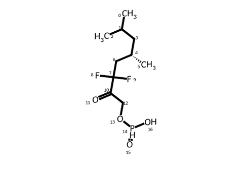 CC(C)C[C@H](C)CC(F)(F)C(=O)CO[PH](=O)O